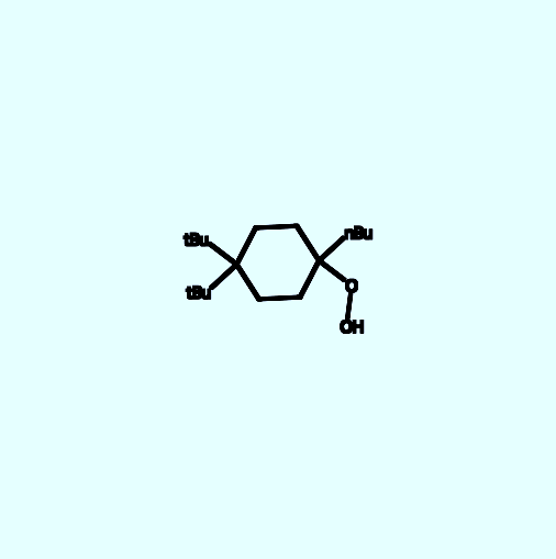 CCCCC1(OO)CCC(C(C)(C)C)(C(C)(C)C)CC1